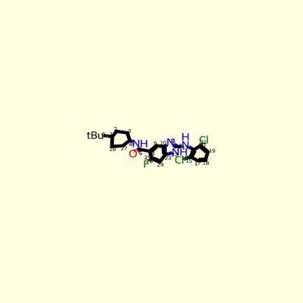 CC(C)(C)C1CCC(NC(=O)c2cc3nc(Nc4c(Cl)cccc4Cl)[nH]c3cc2F)CC1